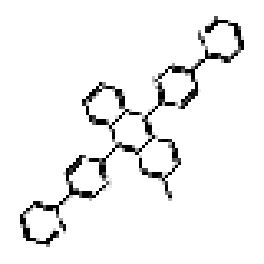 Cc1ccc2c(-c3ccc(-c4ccccn4)cn3)c3ccccc3c(-c3ccc(-c4ccccn4)cn3)c2c1